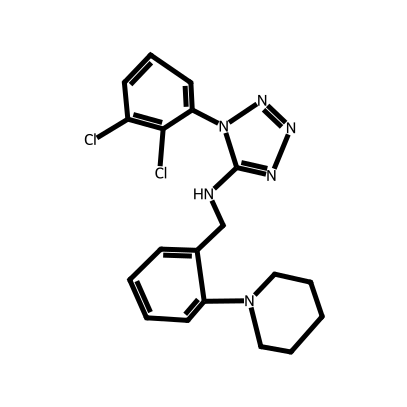 Clc1cccc(-n2nnnc2NCc2ccccc2N2CCCCC2)c1Cl